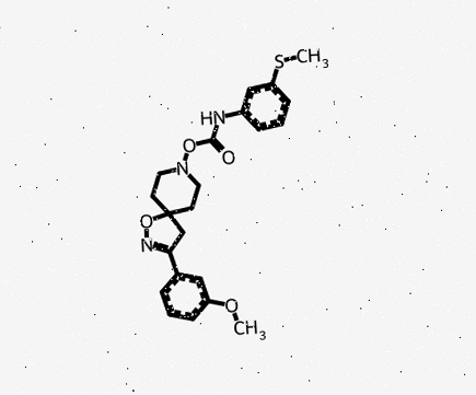 COc1cccc(C2=NOC3(CCN(OC(=O)Nc4cccc(SC)c4)CC3)C2)c1